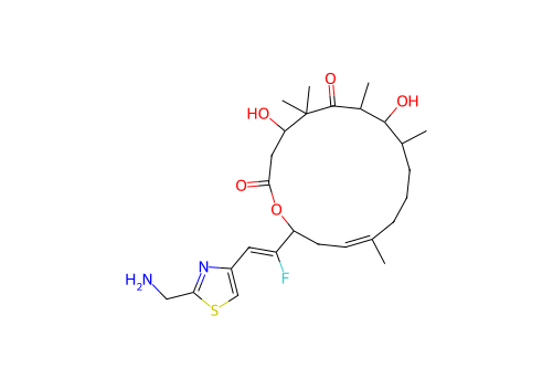 C/C1=C/CC(C(F)=Cc2csc(CN)n2)OC(=O)CC(O)C(C)(C)C(=O)C(C)C(O)C(C)CCC1